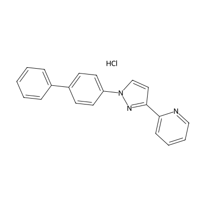 Cl.c1ccc(-c2ccc(-n3ccc(-c4ccccn4)n3)cc2)cc1